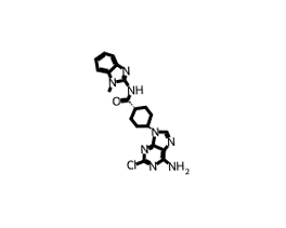 Cn1c(NC(=O)[C@H]2CC[C@@H](n3cnc4c(N)nc(Cl)nc43)CC2)nc2ccccc21